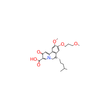 COCCCOc1cc2c(cc1OC)-c1cc(=O)c(C(=O)O)cn1C[C@H]2CCCC(C)C